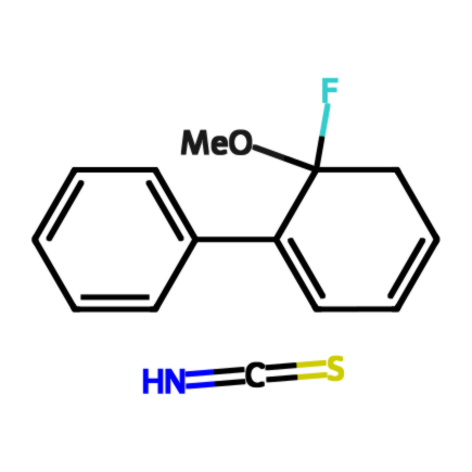 COC1(F)CC=CC=C1c1ccccc1.N=C=S